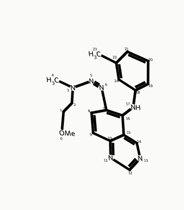 COCCN(C)/N=N\c1ccc2ncncc2c1Nc1cccc(C)c1